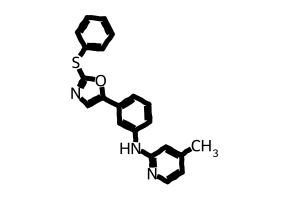 Cc1ccnc(Nc2cccc(-c3cnc(Sc4ccccc4)o3)c2)c1